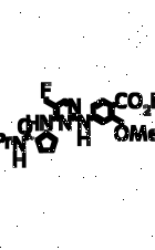 COCc1cc(Nc2ncc(CF)c(N[C@@H]3CCC[C@@H]3C(=O)NC(C)C)n2)ccc1C(=O)O